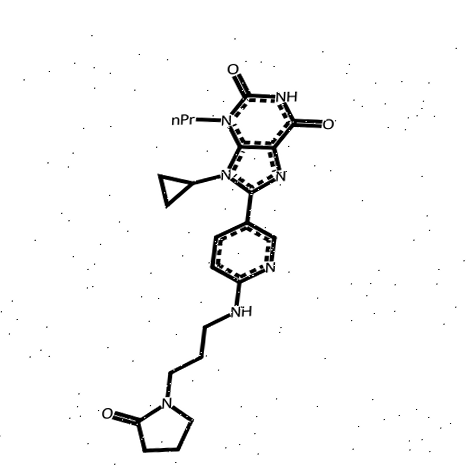 CCCn1c(=O)[nH]c(=O)c2nc(-c3ccc(NCCCN4CCCC4=O)nc3)n(C3CC3)c21